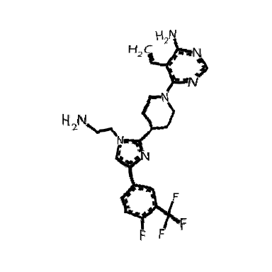 C=Cc1c(N)ncnc1N1CCC(c2nc(-c3ccc(F)c(C(F)(F)F)c3)cn2CCN)CC1